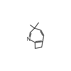 CC1(C)C=CC2=C(CC2)N=C1